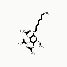 CCCCCCCO[C@H]1O[C@H](CC)[C@@H](OC(C)=O)[C@H](OC(C)=O)[C@@H]1OC(C)=O